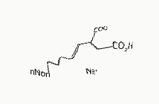 CCCCCCCCCCCCC=CC(CC(=O)O)C(=O)[O-].[Na+]